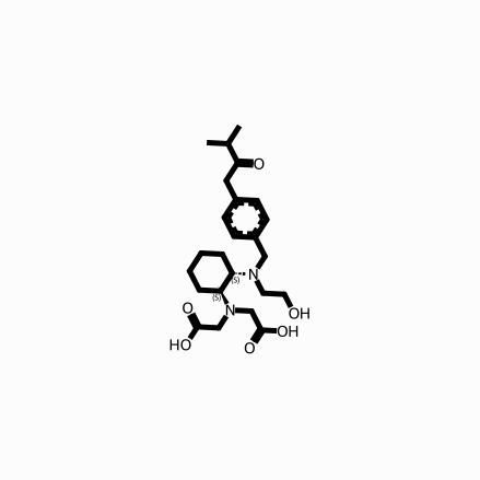 CC(C)C(=O)Cc1ccc(CN(CCO)[C@H]2CCCC[C@@H]2N(CC(=O)O)CC(=O)O)cc1